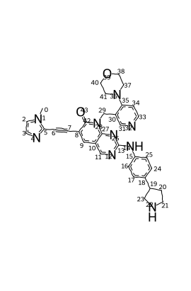 Cn1ccnc1C#Cc1cc2cnc(Nc3ccc(C4CCNC4)cc3)nc2n(Cc2cnccc2N2CCOCC2)c1=O